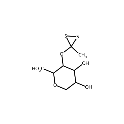 CC1(OC2C(C(=O)O)OCC(O)C2O)SS1